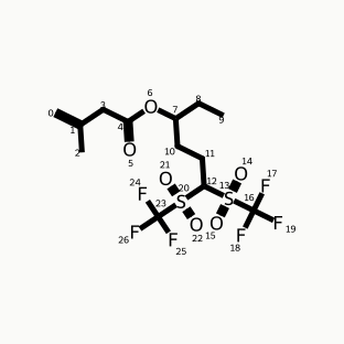 C=C(C)CC(=O)OC(CC)CCC(S(=O)(=O)C(F)(F)F)S(=O)(=O)C(F)(F)F